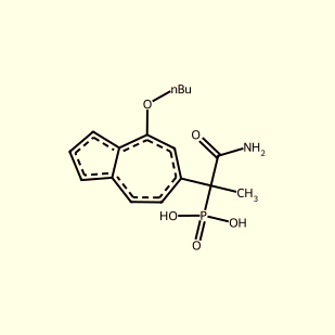 CCCCOc1cc(C(C)(C(N)=O)P(=O)(O)O)ccc2cccc1-2